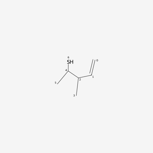 C=CC(C)C(C)S